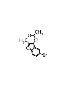 CC(=O)Oc1c(C)oc2ccc(Br)cc12